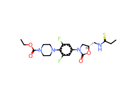 CCOC(=O)N1CCN(c2c(F)cc(N3C[C@H](CNC(=S)CC)OC3=O)cc2F)CC1